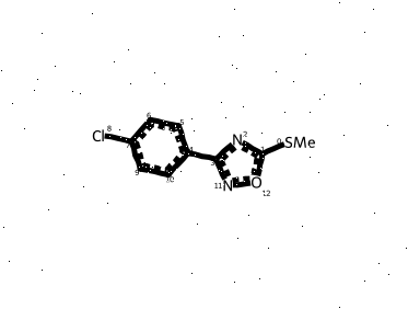 CSc1nc(-c2ccc(Cl)cc2)no1